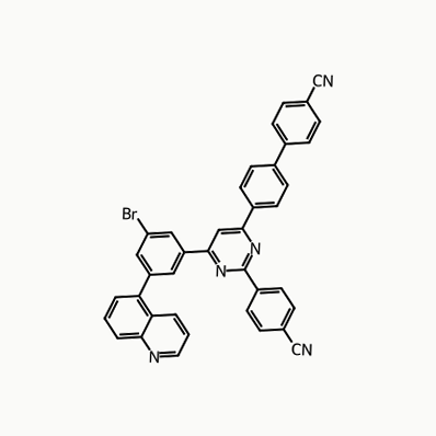 N#Cc1ccc(-c2ccc(-c3cc(-c4cc(Br)cc(-c5cccc6ncccc56)c4)nc(-c4ccc(C#N)cc4)n3)cc2)cc1